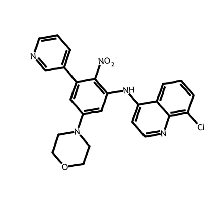 O=[N+]([O-])c1c(Nc2ccnc3c(Cl)cccc23)cc(N2CCOCC2)cc1-c1cccnc1